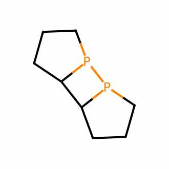 C1CC2C3CCCP3P2C1